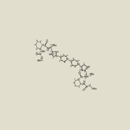 CC(C)(C)OC(=O)NC1CCCCC1C(=O)N[C@H](c1nc(-c2ccc(-c3ccc(-c4c[nH]c([C@@H](NC(=O)C5CCCCC5NC(=O)OC(C)(C)C)C(C)(C)C)n4)cc3)cc2)c[nH]1)C(C)(C)C